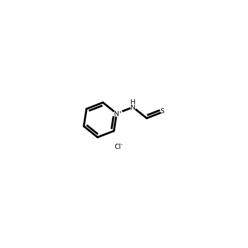 S=CN[n+]1ccccc1.[Cl-]